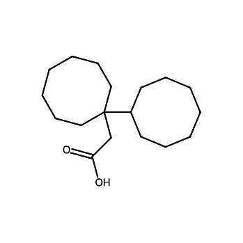 O=C(O)CC1(C2CCCCCCC2)CCCCCCC1